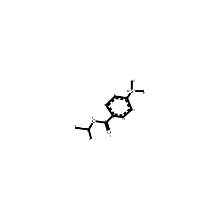 CC(C)OC(=O)c1ccc([S+](C)C)cc1